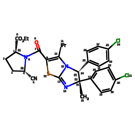 CCOC(=O)[C@@H]1CC[C@@H](C#N)N1C(=O)C1=C(C(C)C)N2C(=N[C@@](C)(c3ccc(Cl)cc3)[C@H]2c2ccc(Cl)cc2)S1